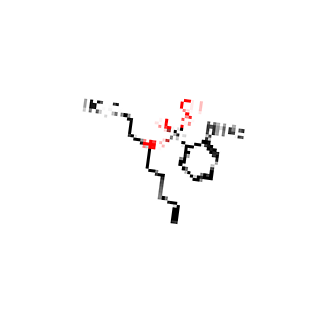 C=CCCCCCCC(=O)O.CC(=O)Nc1ccccc1[As](=O)(O)OO